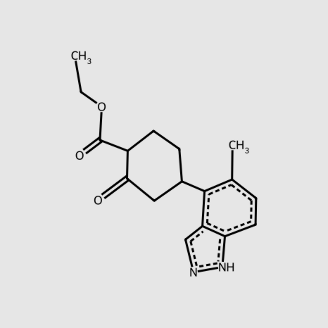 CCOC(=O)C1CCC(c2c(C)ccc3[nH]ncc23)CC1=O